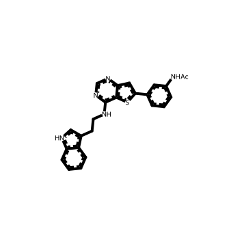 CC(=O)Nc1cccc(-c2cc3ncnc(NCCc4c[nH]c5ccccc45)c3s2)c1